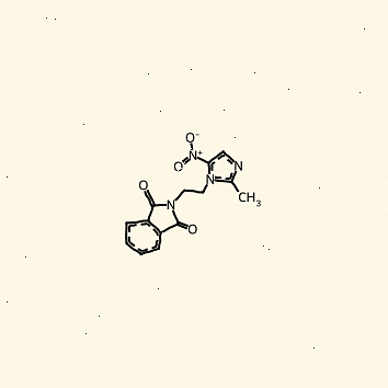 Cc1ncc([N+](=O)[O-])n1CCN1C(=O)c2ccccc2C1=O